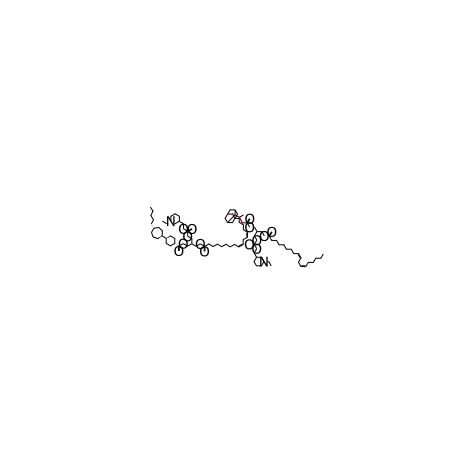 CCCCC/C=C\C/C=C\CCCCCCCC(=O)OCC(COC(=O)CCC12CC3CC(C1)C(C(C)CCC/C=C\C/C=C\CCCCCCCC(=O)OCC(COC(=O)OCC1CCCN(CC)C1)COC(=O)[C@H]1CC[C@H]([C@H]4CCC[C@H](CCCCC)CC4)CC1)C(C3)C2)COC(=O)OCC1CCCN(CC)C1